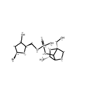 B[C@@H]1O[C@@]2(CO)COC1C2OP(O)(=S)OC[C@H]1O[C@@H](Br)CC1O